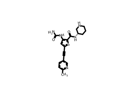 Cc1ccc(C#Cc2cc(NC(N)=O)c(C(=O)N[C@H]3CCCNC3)s2)cn1